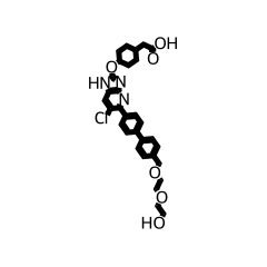 O=C(O)CC1CCC(Oc2nc3nc(-c4ccc(-c5ccc(COCCOCCO)cc5)cc4)c(Cl)cc3[nH]2)CC1